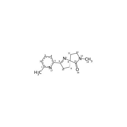 Cc1cccc(C2=N[C@@]3(CC2)CCN(C)C3=O)n1